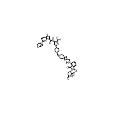 O=C1CCC(N2C(=O)c3cccc(NCC4CC5(CCN(CC6CCC(n7cc(NC(=O)c8csc9ccc(N%10CC%11CC%10CO%11)nc89)c(C(F)F)n7)CC6)CC5)C4)c3C2=O)C(=O)N1